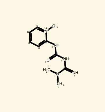 CN(C)C(=N)NC(=O)Nc1cccc[n+]1[O-]